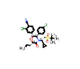 C=CC[C@@H]1O[C@H](c2ccc(C#N)c(Cl)c2)[C@@H](c2ccc(Cl)cc2)N([C@H](CS(=O)(=O)C(C)(C)C)C2CC2)C1=O